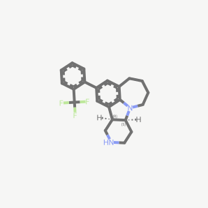 FC(F)(F)c1ccccc1-c1cc2c3c(c1)[C@@H]1CNCC[C@@H]1N3CCCC2